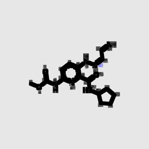 COC(=O)Nc1ccc(N/N=C\C=N)c(C(=O)NC2CCCC2)n1